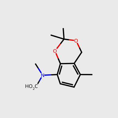 Cc1ccc(N(C)C(=O)O)c2c1COC(C)(C)O2